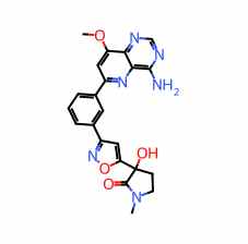 COc1cc(-c2cccc(-c3cc(C4(O)CCN(C)C4=O)on3)c2)nc2c(N)ncnc12